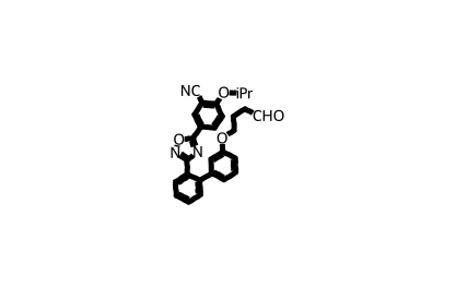 CC(C)Oc1ccc(-c2nc(-c3ccccc3-c3cccc(OCCCC=O)c3)no2)cc1C#N